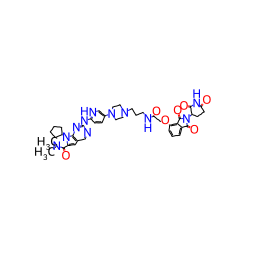 CN(C)C(=O)c1cc2cnc(Nc3ccc(N4CCN(CCCNC(=O)COc5cccc6c5C(=O)N(C5CCC(=O)NC5=O)C6=O)CC4)cn3)nc2n1C1CCCC1